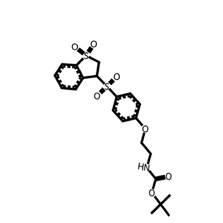 CC(C)(C)OC(=O)NCCOc1ccc(S(=O)(=O)C2CS(=O)(=O)c3ccccc32)cc1